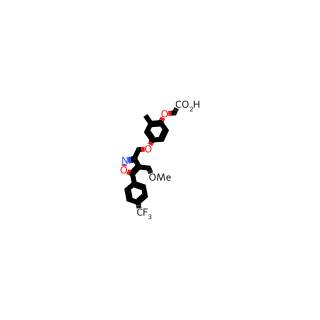 COCc1c(COc2ccc(OCC(=O)O)c(C)c2)noc1-c1ccc(C(F)(F)F)cc1